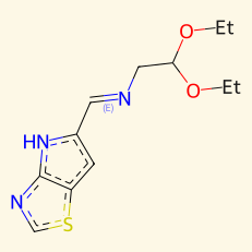 CCOC(C/N=C/c1cc2scnc2[nH]1)OCC